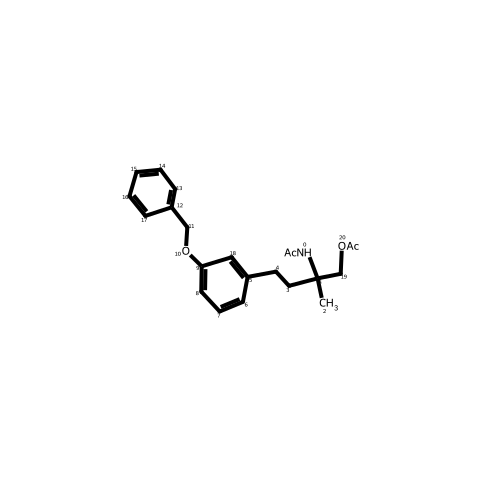 CC(=O)NC(C)(CCc1cccc(OCc2ccccc2)c1)COC(C)=O